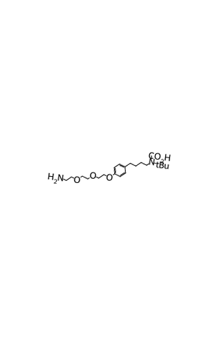 CC(C)(C)N(CCCCc1ccc(OCCOCCOCCN)cc1)C(=O)O